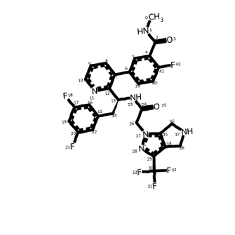 CNC(=O)c1cc(-c2cccnc2[C@H](Cc2cc(F)cc(F)c2)NC(=O)Cn2nc(C(F)(F)F)c3c2CNC3)ccc1F